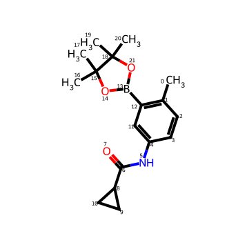 Cc1ccc(NC(=O)C2CC2)cc1B1OC(C)(C)C(C)(C)O1